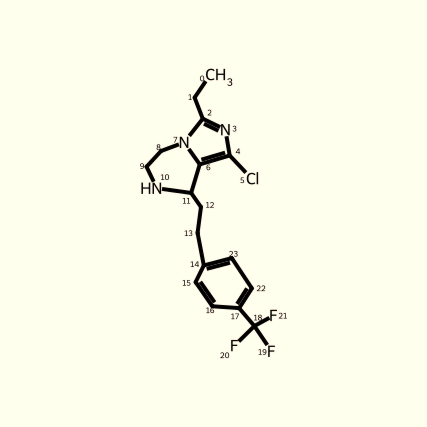 CCc1nc(Cl)c2n1CCNC2CCc1ccc(C(F)(F)F)cc1